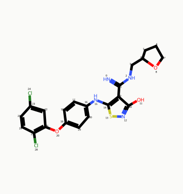 N=C(NCC1CCCO1)c1c(O)nsc1Nc1ccc(Oc2cc(Cl)ccc2Cl)cc1